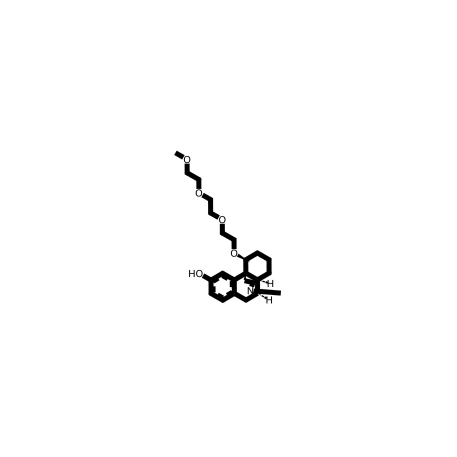 COCCOCCOCCO[C@H]1CCC[C@H]2[C@H]3Cc4ccc(O)cc4[C@@]12CCN3C